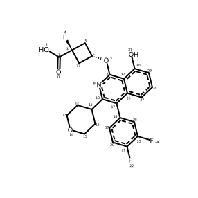 O=C(O)[C@]1(F)C[C@H](Oc2nc(C3CCOCC3)c(-c3ccc(F)c(F)c3)c3cccc(O)c23)C1